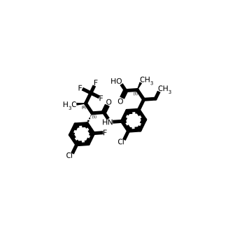 CCC(c1ccc(Cl)c(NC(=O)[C@H](c2ccc(Cl)cc2F)[C@@H](C)C(F)(F)F)c1)[C@H](C)C(=O)O